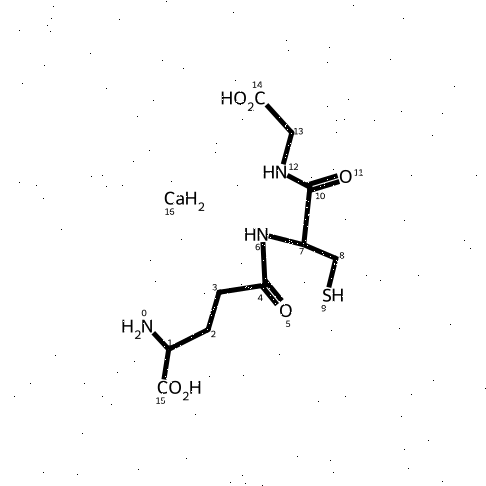 NC(CCC(=O)NC(CS)C(=O)NCC(=O)O)C(=O)O.[CaH2]